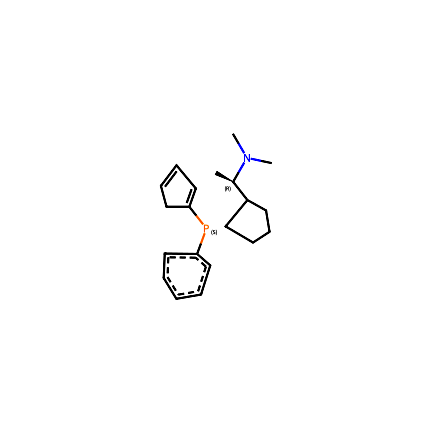 C[C@H](C1CCCC1[P@](C1=CC=CC1)c1ccccc1)N(C)C